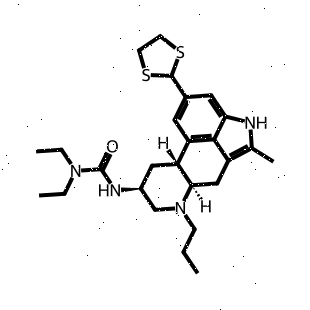 CCCN1C[C@@H](NC(=O)N(CC)CC)C[C@@H]2c3cc(C4SCCS4)cc4[nH]c(C)c(c34)C[C@H]21